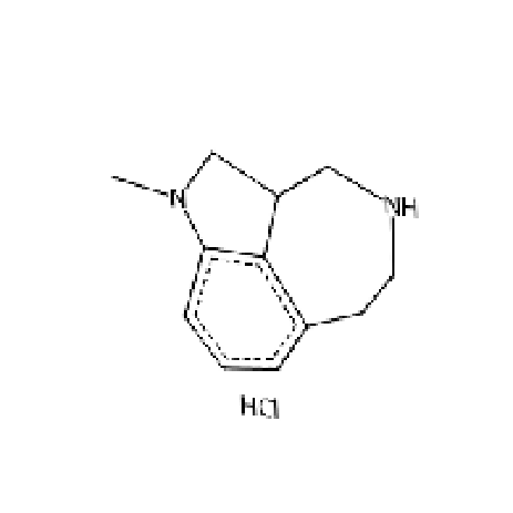 CN1CC2CNCCc3cccc1c32.Cl